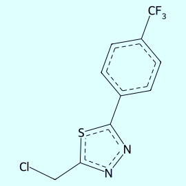 FC(F)(F)c1ccc(-c2nnc(CCl)s2)cc1